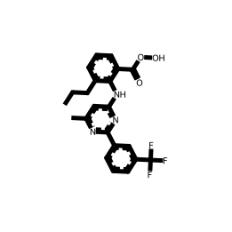 CCCc1cccc(C(=O)OO)c1Nc1cc(C)nc(-c2cccc(C(F)(F)F)c2)n1